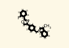 Cc1cn(Cc2ccc(C3COC(c4ccccc4F)=N3)cc2)c2ccccc12